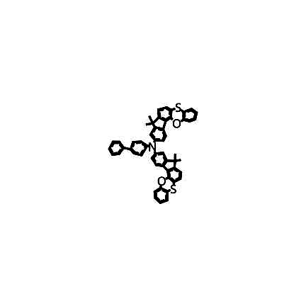 CC1(C)c2cc(N(c3ccc(-c4ccccc4)cc3)c3ccc4c(c3)C(C)(C)c3ccc5c(c3-4)Oc3ccccc3S5)ccc2-c2c1ccc1c2Oc2ccccc2S1